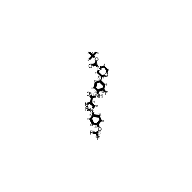 CC(C)(C)OC(=O)N1CCO[C@@H](c2ccc(NC(=O)c3cn(-c4ccc(OC(F)F)cc4)nn3)c(F)c2)C1